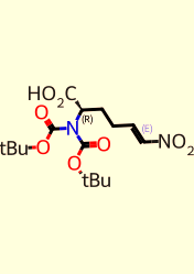 CC(C)(C)OC(=O)N(C(=O)OC(C)(C)C)[C@H](CC/C=C/[N+](=O)[O-])C(=O)O